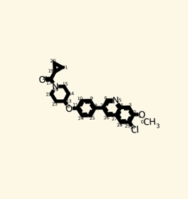 COc1cc2ncc(-c3ccc(OC4CCN(C(=O)C5CC5)CC4)cc3)cc2cc1Cl